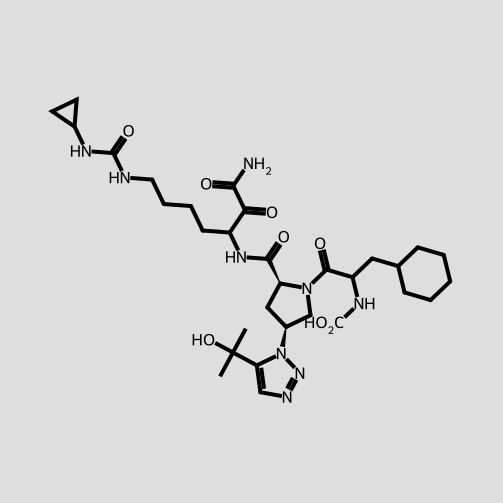 CC(C)(O)c1cnnn1[C@H]1C[C@@H](C(=O)NC(CCCCNC(=O)NC2CC2)C(=O)C(N)=O)N(C(=O)C(CC2CCCCC2)NC(=O)O)C1